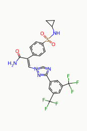 NC(=O)/C(=C/n1cnc(-c2cc(C(F)(F)F)cc(C(F)(F)F)c2)n1)c1ccc(S(=O)(=O)NC2CC2)cc1